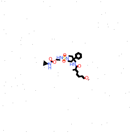 CO/C=C/C=C\C=C(/C)C(=O)NCC1(c2ccccc2)CCN(S(=O)(=O)NCCOC(=O)NC2CC2)CC1